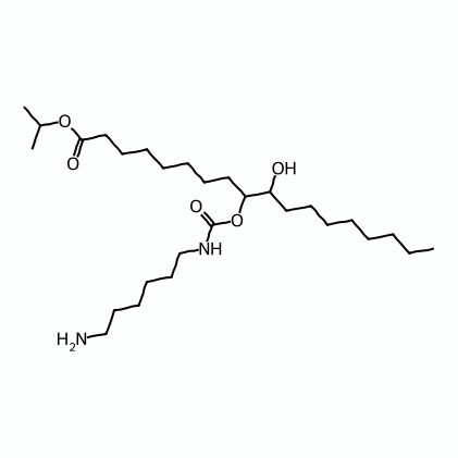 CCCCCCCCC(O)C(CCCCCCCC(=O)OC(C)C)OC(=O)NCCCCCCN